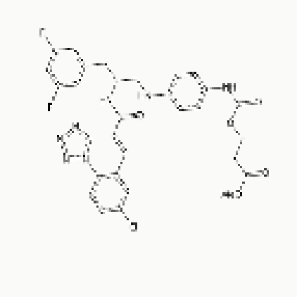 COC(=O)CCOC(=O)Nc1ccc(NCC(Cc2cc(F)cc(F)c2)NC(=O)C=Cc2cc(Cl)ccc2-n2cnnn2)cc1